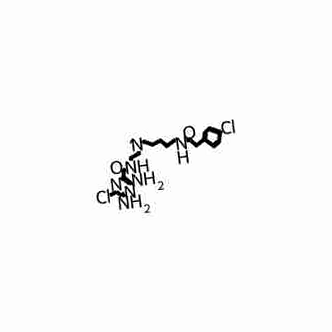 CN(CCCCCNC(=O)Cc1ccc(Cl)cc1)CCNC(=O)c1nc(Cl)c(N)nc1N